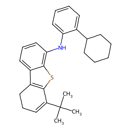 CC(C)(C)C1=CCCc2c1sc1c(Nc3ccccc3C3CCCCC3)cccc21